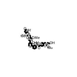 COc1nc(-c2ccnc(-c3cccc(NC(=O)c4ccc(CN(CCO)C(=O)OC(C)(C)C)cn4)c3C)c2C)cnc1CN(C[C@@H]1CCC(=O)N1)C(=O)OC(C)(C)C